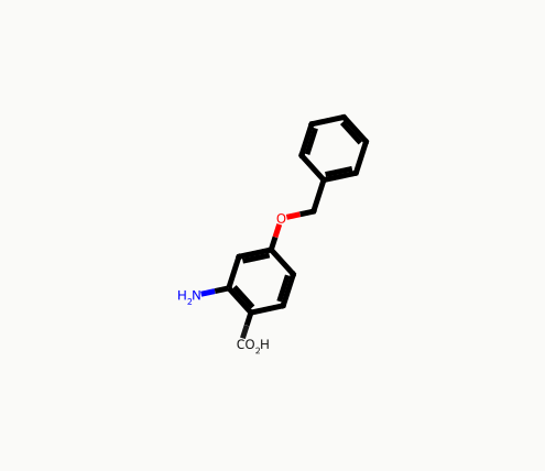 Nc1cc(OCc2ccccc2)ccc1C(=O)O